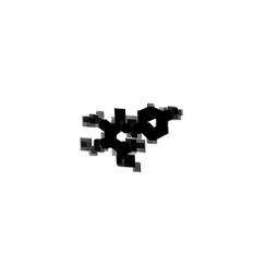 CCCC(NNc1ccc(Br)cc1)=C(C)C(C)=N